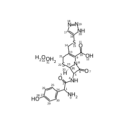 NC(C(=O)NC1C(=O)N2C(C(=O)O)=C(CSc3cnn[nH]3)CS[C@H]12)c1ccc(O)cc1.O.O